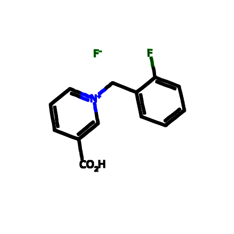 O=C(O)c1ccc[n+](Cc2ccccc2F)c1.[F-]